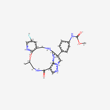 CC(C)OC(=O)Nc1ccc(-c2cn3ncc4c3nc2NCc2cc(F)cnc2OC(C)CNC4=O)cc1